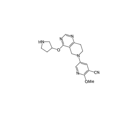 COc1ncc(N2CCc3ncnc(OC4CCNC4)c3C2)cc1C#N